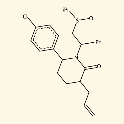 C=CCC1CCC(c2ccc(Cl)cc2)N(C(C[S+]([O-])C(C)C)C(C)C)C1=O